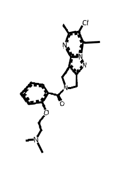 Cc1nc2c3c(nn2c(C)c1Cl)CN(C(=O)c1ccccc1OCCN(C)C)C3